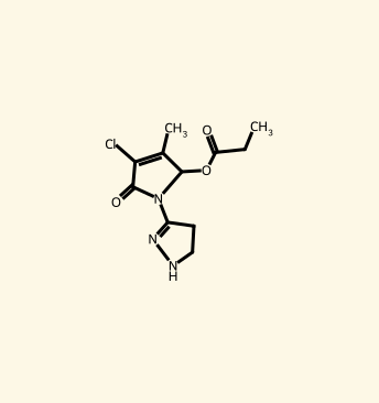 CCC(=O)OC1C(C)=C(Cl)C(=O)N1C1=NNCC1